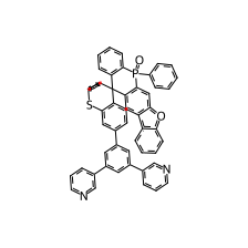 O=P1(c2ccccc2)c2ccccc2C2(c3ccccc3Sc3cc(-c4cc(-c5cccnc5)cc(-c5cccnc5)c4)ccc32)c2cc3c(cc21)oc1ccccc13